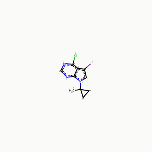 CC1(n2cc(I)c3c(Cl)ncnc32)CC1